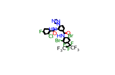 O=C(Nc1c(Br)cc(C(F)(C(F)(F)F)C(F)(F)C(F)(F)F)cc1Br)c1ccc(-n2cncn2)c(NC(=O)c2ccc(F)cc2Cl)c1